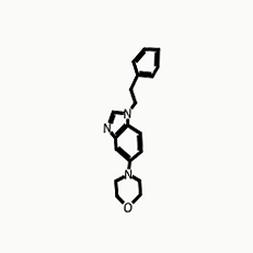 c1ccc(CCn2cnc3cc(N4CCOCC4)ccc32)cc1